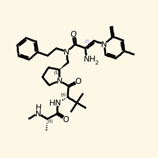 C=C1C=C(C)C=CN1/C=C(\N)C(=O)N(CCc1ccccc1)C[C@@H]1CCCN1C(=O)[C@@H](NC(=O)[C@H](C)NC)C(C)(C)C